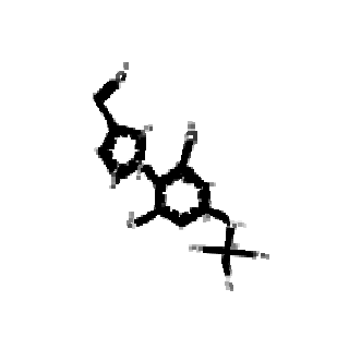 O=Cc1cnn(-c2c(Cl)cc(OC(F)(F)F)cc2Cl)n1